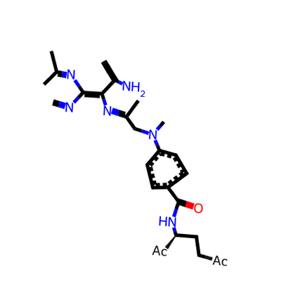 C=N/C(N=C(C)C)=C(\N=C(/C)CN(C)c1ccc(C(=O)N[C@@H](CCC(C)=O)C(C)=O)cc1)C(=C)N